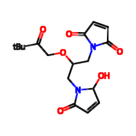 CC(C)(C)C(=O)COC(CN1C(=O)C=CC1=O)CN1C(=O)C=CC1O